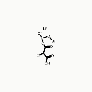 O=C(O)C(Cl)C(=O)OB([O-])OBr.[Li+]